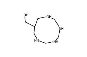 OCC1CNCNCNCNC1